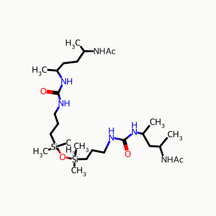 CC(=O)NC(C)CCC(C)NC(=O)NCCC[Si](C)(C)O[Si](C)(C)CCCNC(=O)NC(C)CC(C)NC(C)=O